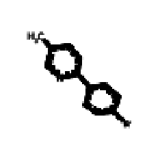 Cc1ccc(-c2ccc(Br)cc2)nc1